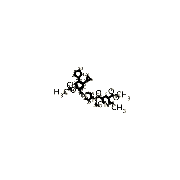 CCc1nc2c(cc1C(=O)OC)C(=O)N(C1CCN(Cc3cc(C4CC4)c(C4CCCC4)cc3OC(C)C)CC1)CC2